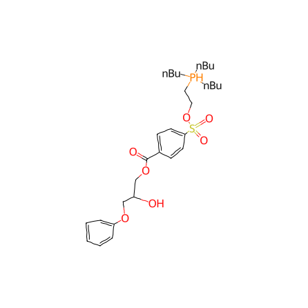 CCCC[PH](CCCC)(CCCC)CCOS(=O)(=O)c1ccc(C(=O)OCC(O)COc2ccccc2)cc1